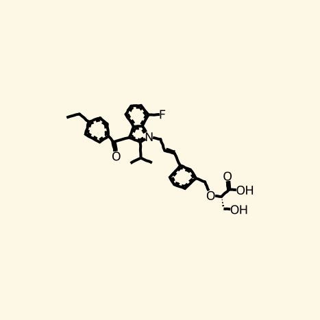 CCc1ccc(C(=O)c2c(C(C)C)n(C/C=C/c3cccc(CO[C@@H](CO)C(=O)O)c3)c3c(F)cccc23)cc1